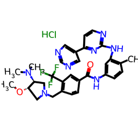 CO[C@H]1CN(Cc2ccc(C(=O)Nc3ccc(C)c(Nc4nccc(-c5cncnc5)n4)c3)cc2C(F)(F)F)C[C@@H]1N(C)C.Cl